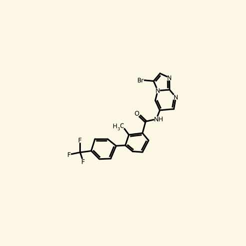 Cc1c(C(=O)Nc2cnc3ncc(Br)n3c2)cccc1-c1ccc(C(F)(F)F)cc1